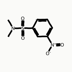 CN(C)S(=O)(=O)c1[c]ccc([N+](=O)[O-])c1